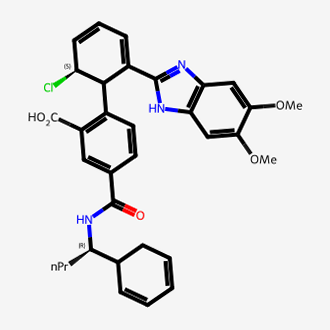 CCC[C@@H](NC(=O)c1ccc(C2C(c3nc4cc(OC)c(OC)cc4[nH]3)=CC=C[C@@H]2Cl)c(C(=O)O)c1)C1C=CC=CC1